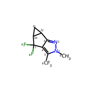 Cn1nc2c(c1C(F)(F)F)C(F)(F)C1CC21